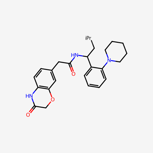 CC(C)CC(NC(=O)Cc1ccc2c(c1)OCC(=O)N2)c1ccccc1N1CCCCC1